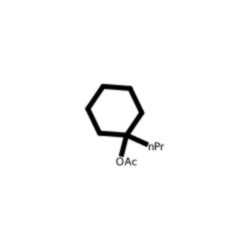 CCCC1(OC(C)=O)CCCCC1